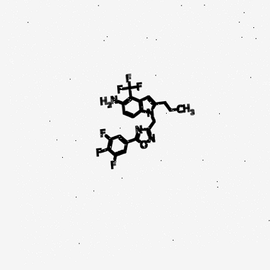 CCCc1cc2c(C(F)(F)F)c(N)ccc2n1Cc1noc(-c2cc(F)c(F)c(F)c2)n1